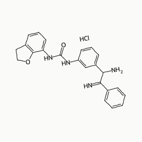 Cl.N=C(c1ccccc1)C(N)c1cccc(NC(=O)Nc2cccc3c2OCC3)c1